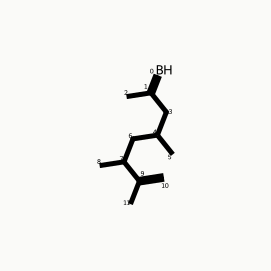 B=C(C)CC(C)CC(C)C(=C)C